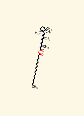 CCCCCCCCCCCCCCCCC(=O)OC(=O)/C=C(C)/C=C/C=C(C)/C=C/C1=C(C)CCCC1(C)C